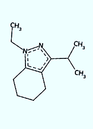 CCn1nc(C(C)C)c2c1CCCC2